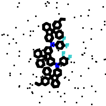 C=CC1=CCC(C2(C3C=CC=CC3)c3ccccc3-c3ccc(N(C4=CC=C(F)C(F)C4)c4ccc5c(c4)-c4cc(N(C6=CC7C(C=C6)C6C=CCCC6C7(C6=CCC(C=C)C=C6)C6=CC=CCC6)C6=CC(F)=C(F)CC6)ccc4[Si]5(C4=CCCCC4)C4CC=CCC4)cc32)CC1